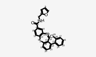 O=C(NCc1ccco1)c1ccc2c(c1)N=Cc1c(cccc1-c1ccccc1Cl)S2